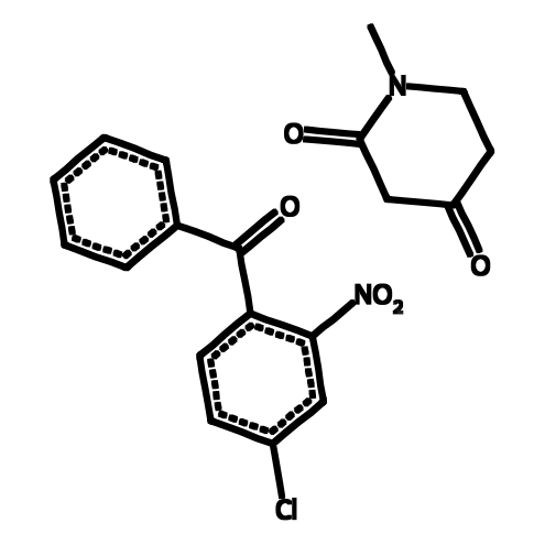 CN1CCC(=O)CC1=O.O=C(c1ccccc1)c1ccc(Cl)cc1[N+](=O)[O-]